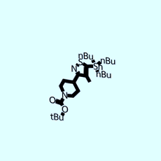 CCC[CH2][Sn]([CH2]CCC)([CH2]CCC)[c]1snc(C2CCN(C(=O)OC(C)(C)C)CC2)c1C